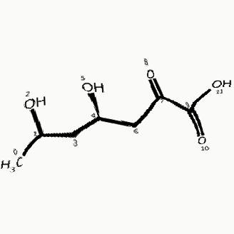 CC(O)C[C@@H](O)CC(=O)C(=O)O